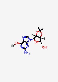 CCOc1nc(N)nc2c1ncn2[C@@H]1O[C@H](CO)[C@H]2OC(C)(C)O[C@]21C